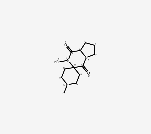 CCCN1C(=O)C2CCCN2C(=O)C12CCN(C)CC2